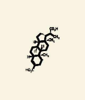 C[C@@H](C(=O)O)[C@H]1CC[C@H]2[C@@H]3CC[C@H]4C=C(C(=O)O)CC[C@]4(C)[C@H]3CC[C@]12C